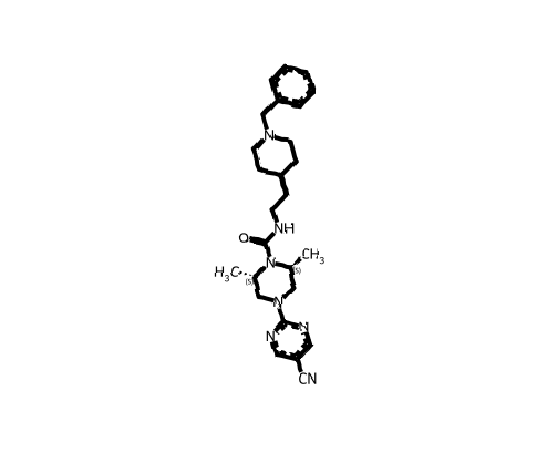 C[C@H]1CN(c2ncc(C#N)cn2)C[C@H](C)N1C(=O)NCCC1CCN(Cc2ccccc2)CC1